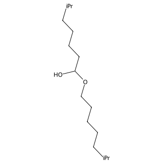 CC(C)CCCCCOC(O)CCCCC(C)C